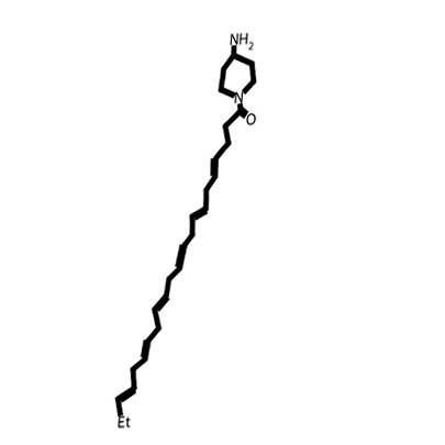 CCC=CCC=CCC=CCC=CCC=CCC=CCCC(=O)N1CCC(N)CC1